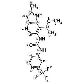 COC(C)c1c(NC(=O)Nc2ccnc(C(F)(F)F)c2)cnc2sc(C)nc12